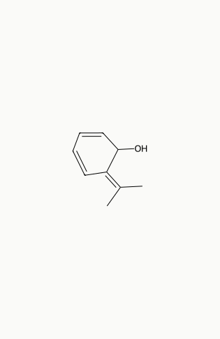 CC(C)=C1C=CC=CC1O